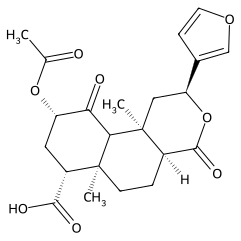 CC(=O)O[C@H]1C[C@@H](C(=O)O)[C@]2(C)CC[C@@H]3C(=O)O[C@H](c4ccoc4)C[C@]3(C)C2C1=O